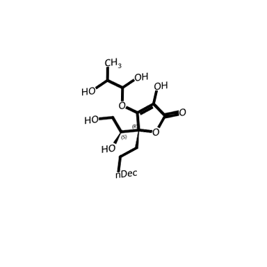 CCCCCCCCCCCC[C@]1([C@@H](O)CO)OC(=O)C(O)=C1OC(O)C(C)O